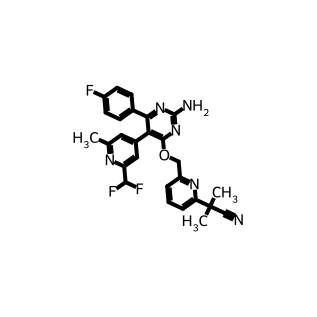 Cc1cc(-c2c(OCc3cccc(C(C)(C)C#N)n3)nc(N)nc2-c2ccc(F)cc2)cc(C(F)F)n1